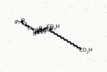 CC(C)C(=O)COCCOCCNC(=O)C(C)(C)NC(=O)CC[C@H](NC(=O)CCCCCCCCCCCCCCCCCCC(=O)O)C(=O)O